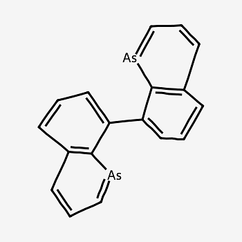 C1=Cc2cccc(-c3cccc4c3[As]=CC=C4)c2[As]=C1